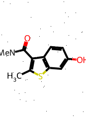 CNC(=O)c1c(C)sc2cc(O)ccc12